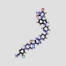 CC1CN(c2ccc(C#N)c(Cl)c2)CCN1C(=O)Nc1cnc(N2CCC(CN3CCC(n4ccc5c(N6CCC(=O)NC6=O)cccc54)CC3)CC2)nc1